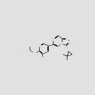 C[C@H](Oc1ncc(-c2cn3c([C@H]4CC4(F)F)nnc3cn2)cc1F)C(F)(F)F